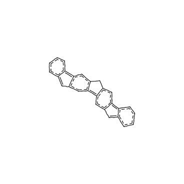 C1=c2ccccc2=c2cc3c(cc21)=c1cc2c(cc1C3)=c1ccccc1=C2